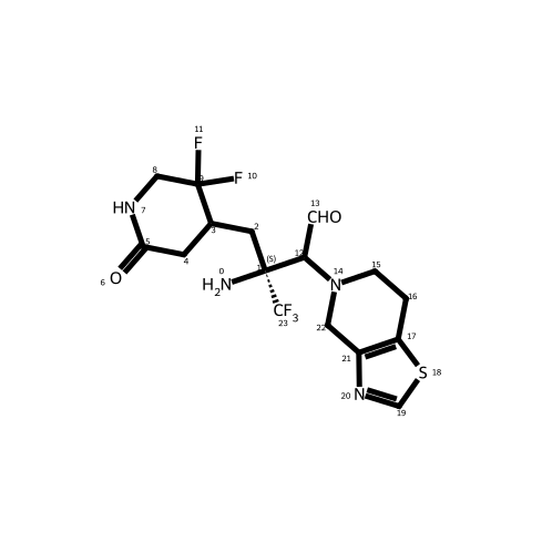 N[C@@](CC1CC(=O)NCC1(F)F)(C(C=O)N1CCc2scnc2C1)C(F)(F)F